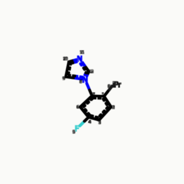 CC(C)c1ccc(F)cc1-n1ccnc1